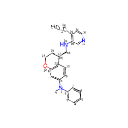 CN(c1ccccc1)c1ccc2c(c1)OCC[C@H]2CNc1cnccc1C(=O)O